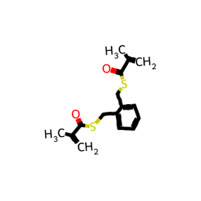 C=C(C)C(=O)SCc1ccccc1CSC(=O)C(=C)C